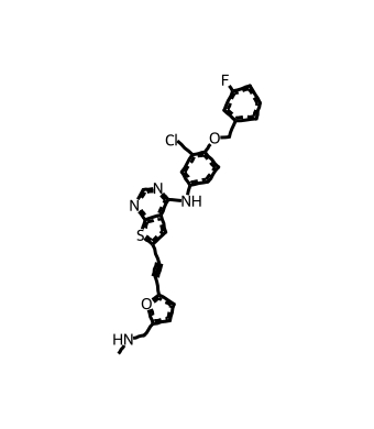 CNCc1ccc(C#Cc2cc3c(Nc4ccc(OCc5cccc(F)c5)c(Cl)c4)ncnc3s2)o1